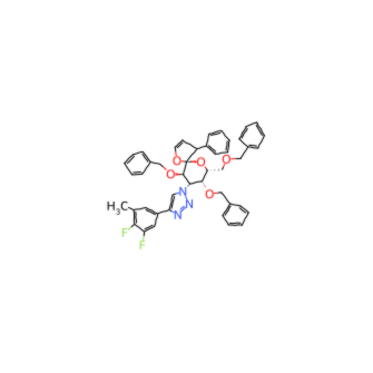 Cc1cc(-c2cn([C@H]3[C@@H](OCc4ccccc4)[C@@H](COCc4ccccc4)O[C@]4(OC=CC4c4ccccc4)[C@@H]3OCc3ccccc3)nn2)cc(F)c1F